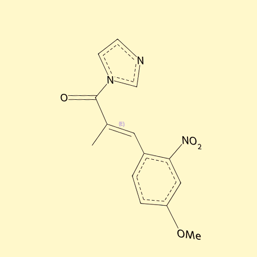 COc1ccc(/C=C(\C)C(=O)n2ccnc2)c([N+](=O)[O-])c1